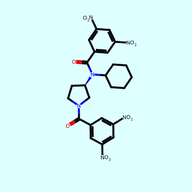 O=C(c1cc([N+](=O)[O-])cc([N+](=O)[O-])c1)N1CC[C@@H](N(C(=O)c2cc([N+](=O)[O-])cc([N+](=O)[O-])c2)C2CCCCC2)C1